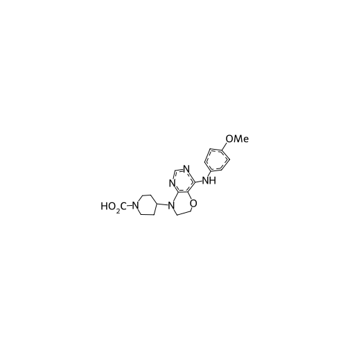 COc1ccc(Nc2ncnc3c2OCCN3C2CCN(C(=O)O)CC2)cc1